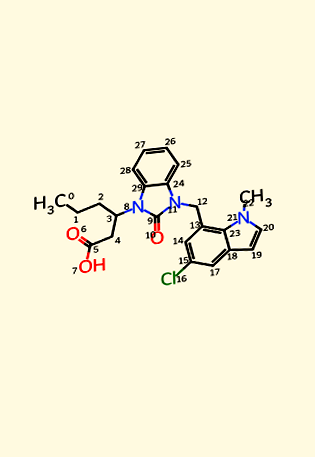 CCCC(CC(=O)O)n1c(=O)n(Cc2cc(Cl)cc3ccn(C)c23)c2ccccc21